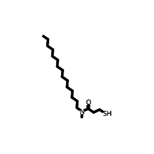 CCCCCCCCCCCCCCCN(C)C(=O)CCS